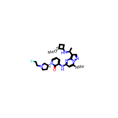 CNc1cc(Nc2cccn([C@@H]3CCN(CCF)C3)c2=O)nc2c(C(C)NC3CC[C@H]3OC)cnn12